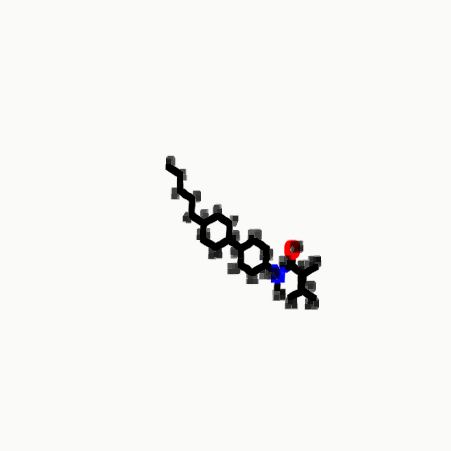 CCCCCC1CCC(C2CCC(N(C)C(=O)C(C)=C(C)C)CC2)CC1